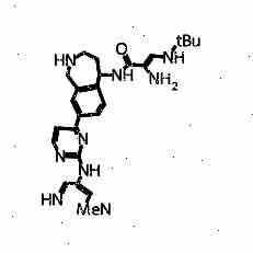 CN/C=C(\C=N)Nc1nccc(-c2ccc3c(c2)CNCCC3NC(=O)/C(N)=C/NC(C)(C)C)n1